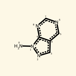 Nn1ncc2cncnc21